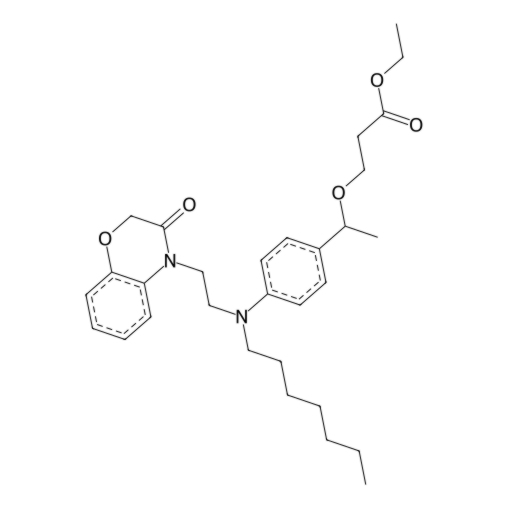 CCCCCCCN(CCN1C(=O)COc2ccccc21)c1ccc(C(C)OCCC(=O)OCC)cc1